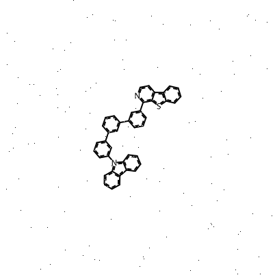 c1cc(-c2cccc(-c3nccc4c3sc3ccccc34)c2)cc(-c2cccc(-n3c4ccccc4c4ccccc43)c2)c1